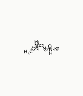 Cc1ccc2[nH]c(-c3cc(N4CCC[C@H](C(=O)NCCN5CCCC5)C4)ccc3Cl)nc2c1